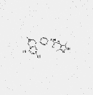 Cc1n[nH]c(C)c1OC(=O)Nc1ccc(C2CN(C)Cc3c(Cl)cc(Cl)cc32)cc1